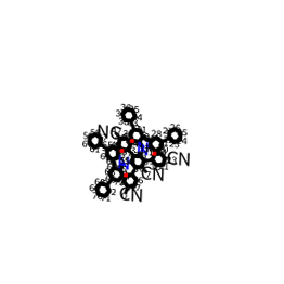 N#Cc1ccc(-c2c(C#N)c(-c3ccc(C#N)cc3)c(-n3c4ccc(-c5ccccc5)cc4c4cc(-c5ccccc5)ccc43)c(-c3ccc(C#N)cc3)c2-n2c3ccc(-c4ccccc4)cc3c3cc(-c4ccccc4)ccc32)cc1